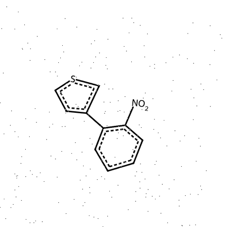 O=[N+]([O-])c1ccccc1-c1ccsc1